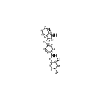 Fc1ccc(CNc2ccc(Cc3c[nH]c4ncccc34)cn2)c(Cl)c1